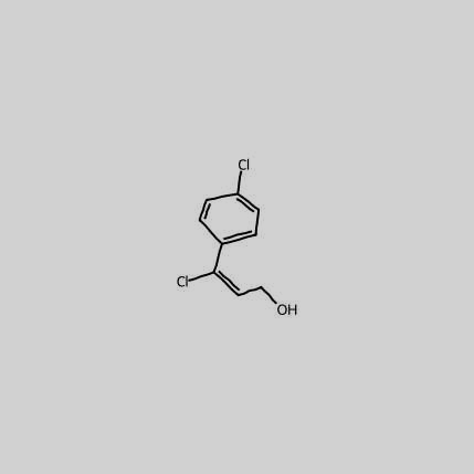 OC/C=C(/Cl)c1ccc(Cl)cc1